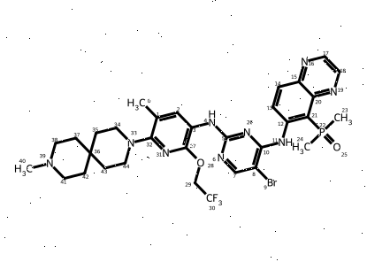 Cc1cc(Nc2ncc(Br)c(Nc3ccc4nccnc4c3P(C)(C)=O)n2)c(OCC(F)(F)F)nc1N1CCC2(CCN(C)CC2)CC1